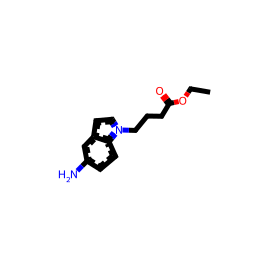 CCOC(=O)CCCn1ccc2cc(N)ccc21